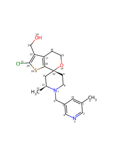 Cc1cncc(CN2CC[C@]3(C[C@@H]2C)OCCc2c3sc(Cl)c2CO)c1